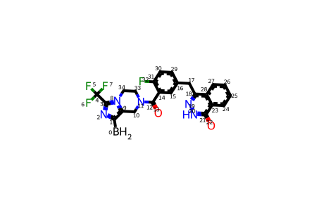 Bc1nc(C(F)(F)F)n2c1CN(C(=O)c1cc(Cc3n[nH]c(=O)c4ccccc34)ccc1F)CC2